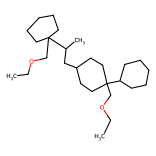 CCOCC1(C(C)CC2CCC(COCC)(C3CCCCC3)CC2)CCCCC1